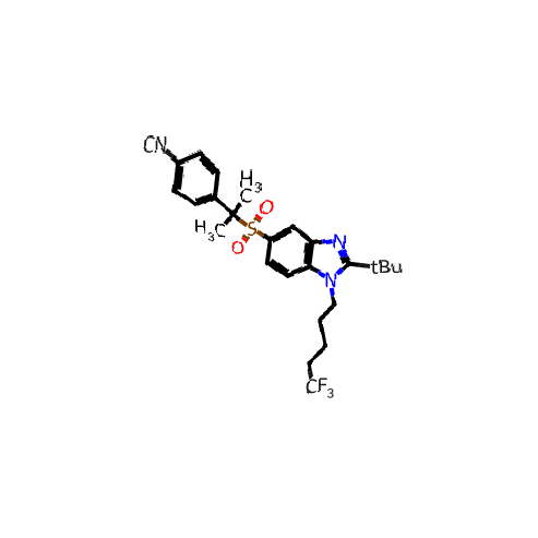 [C-]#[N+]c1ccc(C(C)(C)S(=O)(=O)c2ccc3c(c2)nc(C(C)(C)C)n3CCCCC(F)(F)F)cc1